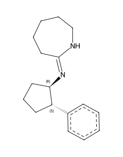 c1ccc([C@@H]2CCC[C@H]2N=C2CCCCCN2)cc1